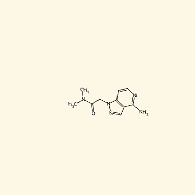 CN(C)C(=O)Cn1ncc2c(N)nccc21